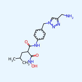 CC(C)CC(C(=O)NO)C(=O)Nc1ccc(Cn2cc(CN)nn2)cc1